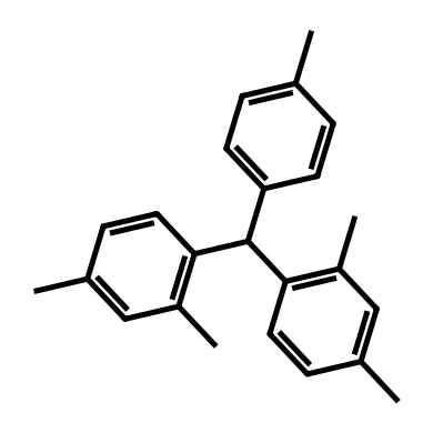 Cc1ccc(C(c2ccc(C)cc2C)c2ccc(C)cc2C)cc1